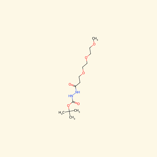 COCCOCCOCCC(=O)NNC(=O)OC(C)(C)C